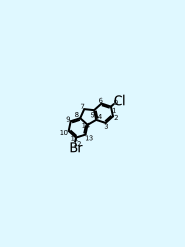 Clc1ccc2c(c1)Cc1ccc(Br)cc1-2